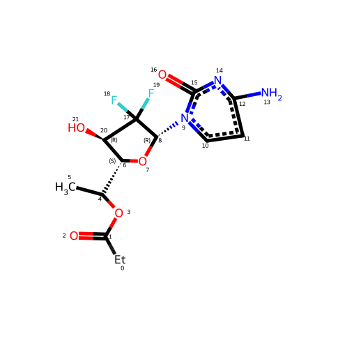 CCC(=O)OC(C)[C@H]1O[C@@H](n2ccc(N)nc2=O)C(F)(F)[C@@H]1O